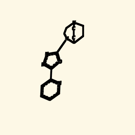 c1ccc(-c2nnc(N3CCN4CCC3CC4)o2)nc1